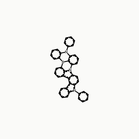 c1ccc(N2c3ccccc3B3c4c2cccc4-n2c4ccc5c(c6ccccc6n5-c5ccccc5)c4c4cccc3c42)cc1